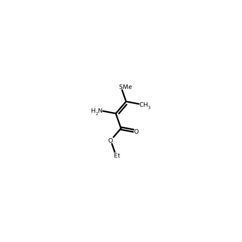 CCOC(=O)C(N)=C(C)SC